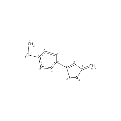 C=C1C=C(c2ccc(OC)cc2)SS1